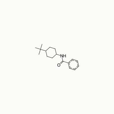 CC(C)(C)C1CCC(NC(=O)c2ccccc2)CC1